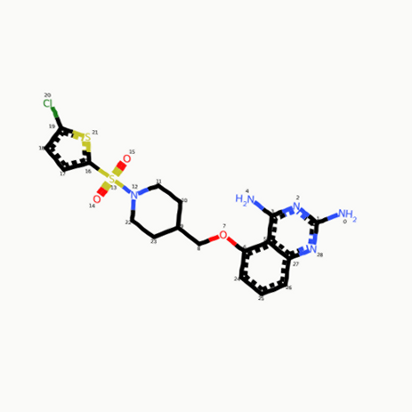 Nc1nc(N)c2c(OCC3CCN(S(=O)(=O)c4ccc(Cl)s4)CC3)cccc2n1